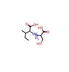 CCC(C)[C@H](N)C(=O)O.NC(CO)C(=O)O